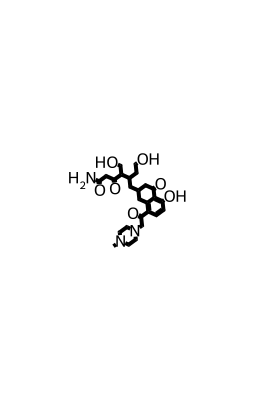 CN1CCN(CC(=O)c2ccc(O)c3c2CC(CC(CCO)C(CO)C(=O)CC(N)=O)CC3=O)CC1